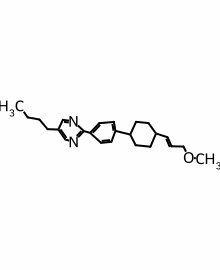 CCCCc1cnc(-c2ccc(C3CCC(C=CCOC)CC3)cc2)nc1